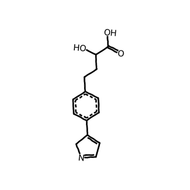 O=C(O)C(O)CCc1ccc(C2=CC=NC2)cc1